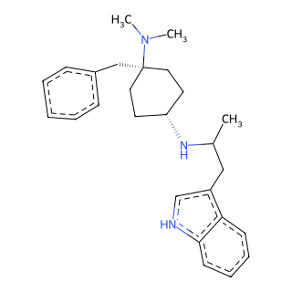 CC(Cc1c[nH]c2ccccc12)N[C@H]1CC[C@](Cc2ccccc2)(N(C)C)CC1